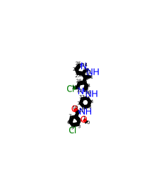 COc1cc(Cl)ccc1C(=O)NC1CCC(Nc2cc(-c3c[nH]c4ncccc34)cc(Cl)n2)CC1